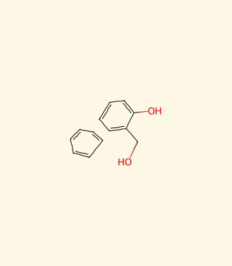 OCc1ccccc1O.c1ccccc1